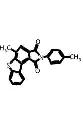 Cc1ccc(N2C(=O)c3cc(C)c4sc5ccccc5c4c3C2=O)cc1